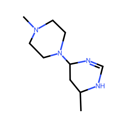 CC1CC(N2CCN(C)CC2)N=CN1